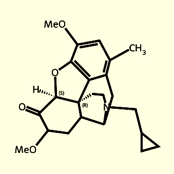 COc1cc(C)c2c3c1O[C@@H]1C(=O)C(OC)CC4C(C2)N(CC2CC2)CC[C@]341